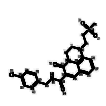 CS(=O)(=O)CCN1CCn2c(=O)c(C(=O)NCc3ccc(Cl)cn3)cc3cccc1c32